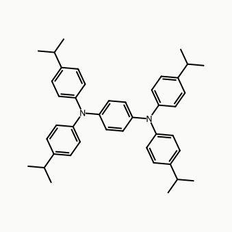 CC(C)c1ccc(N(c2ccc(C(C)C)cc2)c2ccc(N(c3ccc(C(C)C)cc3)c3ccc(C(C)C)cc3)cc2)cc1